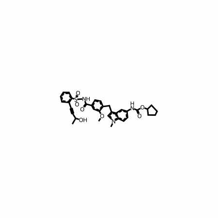 COc1cc(C(=O)NS(=O)(=O)c2ccccc2C#CC(C)O)ccc1Cc1cn(C)c2ccc(NC(=O)OC3CCCC3)cc12